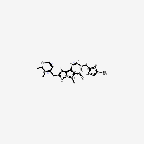 CC/C(C)=C(\C=C/N)Cc1nc2c(s1)c(/C=N\N(C)Cc1ncc(N)s1)c(C=O)n2C